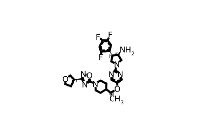 C[C@H](Oc1cnc(N2C[C@H](c3cc(F)c(F)cc3F)[C@@H](N)C2)nc1)C1CCN(c2nc([C@H]3CCOC3)no2)CC1